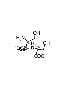 N[C@@H](CO)C(=O)[O-].N[C@@H](CO)C(=O)[O-].[Ca+2]